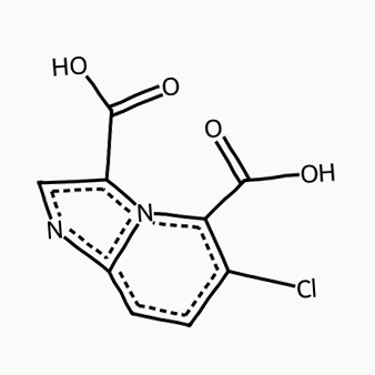 O=C(O)c1cnc2ccc(Cl)c(C(=O)O)n12